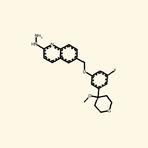 COC1(c2cc(F)cc(OCc3ccc4nc(NN)ccc4c3)c2)CCOCC1